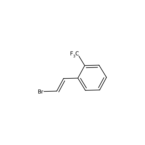 FC(F)(F)c1ccccc1C=CBr